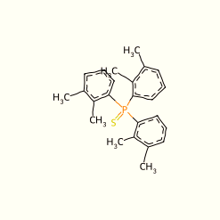 Cc1cccc(P(=S)(c2cccc(C)c2C)c2cccc(C)c2C)c1C